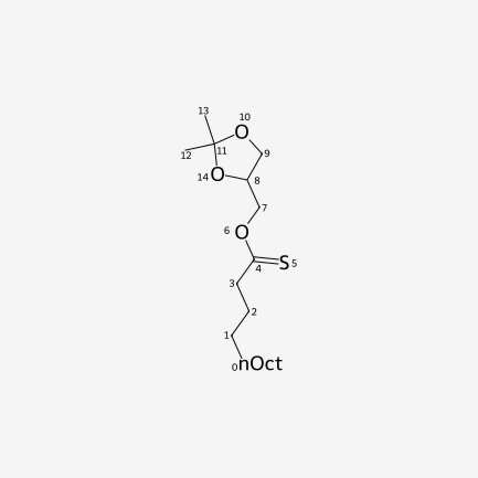 CCCCCCCCCCCC(=S)OCC1COC(C)(C)O1